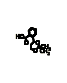 CC1(C)OCCC(c2ccccc2C(=O)O)O1